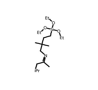 CCO[Si](CCC(C)(C)CN=C(C)CC(C)C)(OCC)OCC